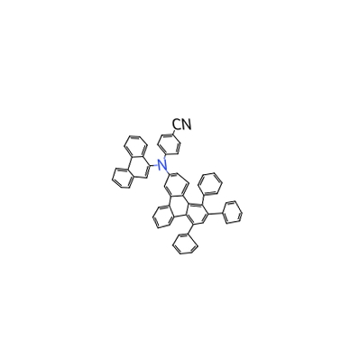 N#Cc1ccc(N(c2ccc3c(c2)c2ccccc2c2c(-c4ccccc4)cc(-c4ccccc4)c(-c4ccccc4)c32)c2cc3ccccc3c3ccccc23)cc1